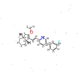 CC(C)O[C@H]1C[C@H]2CCCC[C@H]2[C@@H]1C=Cc1ccc(-c2cccc(F)c2)cn1